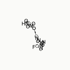 O=C1CCC(N2Cc3cc(C#CC4CCN(c5cccc(-c6cnc7ccc(N8CCCC8C8=CC=CC(F)C8)nn67)n5)CC4)ccc3C2=O)C(=O)N1